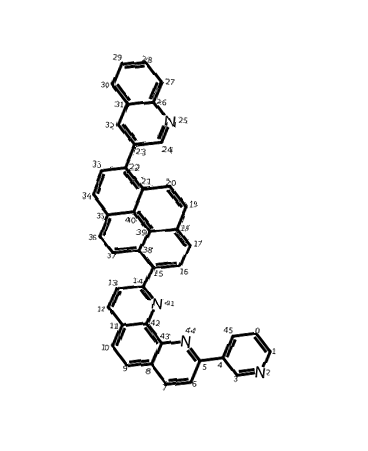 c1cncc(-c2ccc3ccc4ccc(-c5ccc6ccc7c(-c8cnc9ccccc9c8)ccc8ccc5c6c87)nc4c3n2)c1